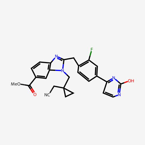 COC(=O)c1ccc2nc(Cc3ccc(-c4ccnc(O)n4)cc3F)n(CC3(CC#N)CC3)c2c1